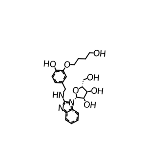 OCCCCOc1cc(CNc2nc3ccccc3n2[C@@H]2O[C@H](CO)[C@@H](O)[C@H]2O)ccc1O